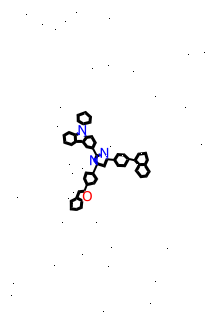 c1ccc(-n2c3ccccc3c3cc(-c4nc(-c5ccc(-c6cc7ccccc7o6)cc5)cc(-c5ccc(-c6cccc7ccccc67)cc5)n4)ccc32)cc1